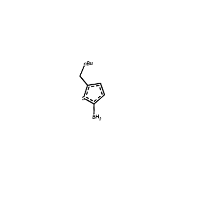 Bc1ccc(CCCCC)s1